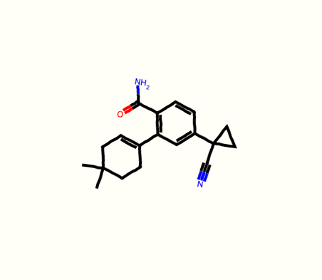 CC1(C)CC=C(c2cc(C3(C#N)CC3)ccc2C(N)=O)CC1